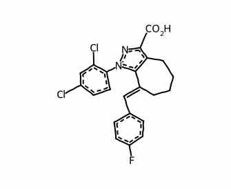 O=C(O)c1nn(-c2ccc(Cl)cc2Cl)c2c1CCCCC2=Cc1ccc(F)cc1